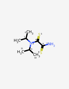 CC(C)N(C(=S)C(N)=S)C(C)C